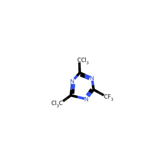 FC(F)(F)c1nc(C(Cl)(Cl)Cl)nc(C(Cl)(Cl)Cl)n1